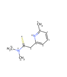 Cc1cccc(CC(=S)N(C)C)n1